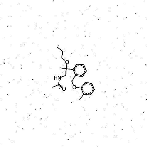 CCCOC(C)(CNC(C)=O)c1ccccc1COc1ccccc1C